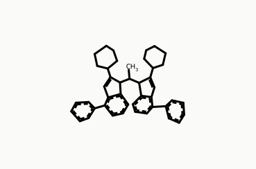 CC(C1C(C2CCCCC2)=Cc2c(-c3ccccc3)cccc21)C1C(C2CCCCC2)=Cc2c(-c3ccccc3)cccc21